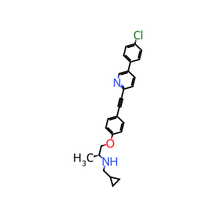 C[C@@H](COc1ccc(C#Cc2ccc(-c3ccc(Cl)cc3)cn2)cc1)NCC1CC1